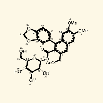 COc1cc2cc(COC(C)=O)c(C(=O)O[C@@H]3O[C@H](CO)[C@@H](O)[C@H](O)[C@H]3O)c(-c3ccc4c(c3)OCO4)c2cc1OC